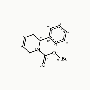 CC(C)(C)OC(=O)N1CC=CCC1c1ccccc1